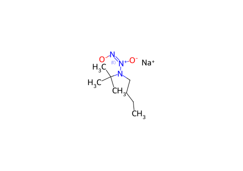 CCCCN(/[N+]([O-])=N\[O-])C(C)(C)C.[Na+]